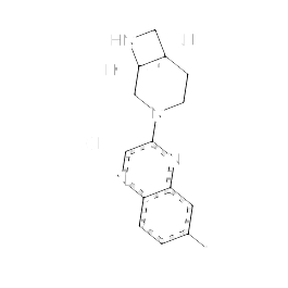 Cl.Fc1ccc2ncc(N3CC[C@@H]4CN[C@@H]4C3)nc2c1